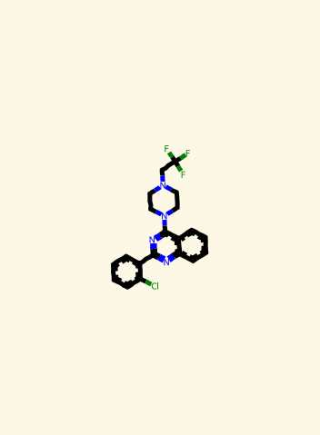 FC(F)(F)CN1CCN(c2nc(-c3ccccc3Cl)nc3ccccc23)CC1